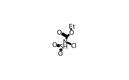 CCOC(=O)N(Cl)[SH](=O)=O